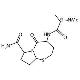 CN[C@@H](C)C(=O)NC1CCSC2CCC(C(N)=O)N2C1=O